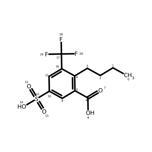 CCCCc1c(C(=O)O)cc(S(=O)(=O)O)cc1C(F)(F)F